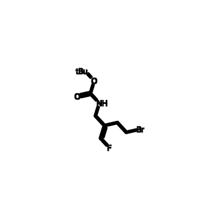 CC(C)(C)OC(=O)NCC(=CF)CCBr